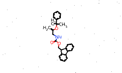 C=C(CNC(=O)OCC1c2ccccc2-c2ccccc21)OC(C)(C)c1ccccc1